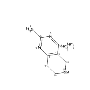 Cl.Cl.Nc1ncc2c(n1)CCNC2